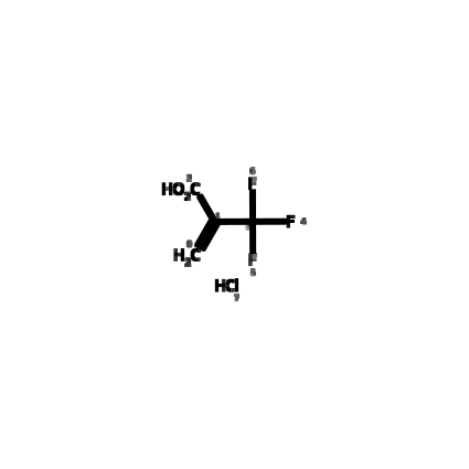 C=C(C(=O)O)C(F)(F)F.Cl